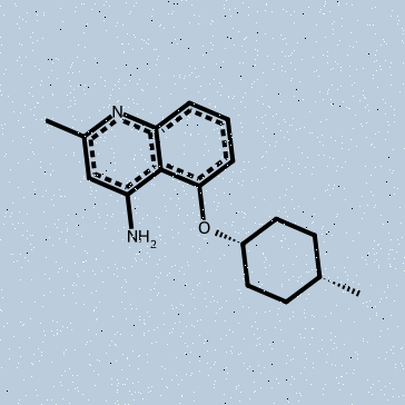 Cc1cc(N)c2c(O[C@H]3CC[C@@H](C)CC3)cccc2n1